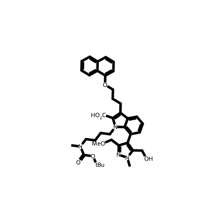 COCc1nn(C)c(CO)c1-c1cccc2c(CCCOc3cccc4ccccc34)c(C(=O)O)n(CCCCN(C)C(=O)OC(C)(C)C)c12